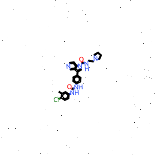 Cc1cc(NC(=O)Nc2ccc(-c3cn(C(=O)NCCN4CCCC4)c4ccncc34)cc2)ccc1Cl